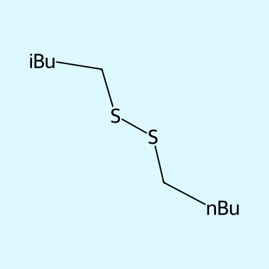 CCCCCSSCC(C)CC